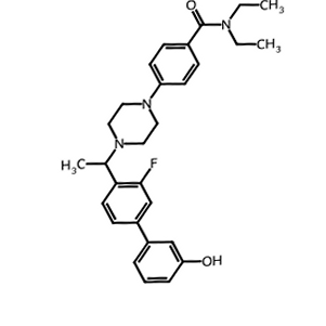 CCN(CC)C(=O)c1ccc(N2CCN(C(C)c3ccc(-c4cccc(O)c4)cc3F)CC2)cc1